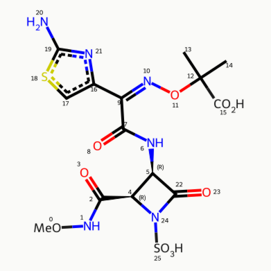 CONC(=O)[C@H]1[C@@H](NC(=O)C(=NOC(C)(C)C(=O)O)c2csc(N)n2)C(=O)N1S(=O)(=O)O